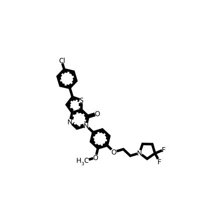 COc1cc(-n2cnc3cc(-c4ccc(Cl)cc4)sc3c2=O)ccc1OCCN1CCC(F)(F)C1